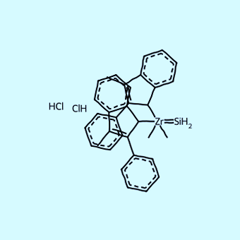 CC1=C(c2ccccc2)[CH]([Zr]([CH3])([CH3])(=[SiH2])[CH]2C(c3ccccc3)=C(C)c3ccccc32)c2ccccc21.Cl.Cl